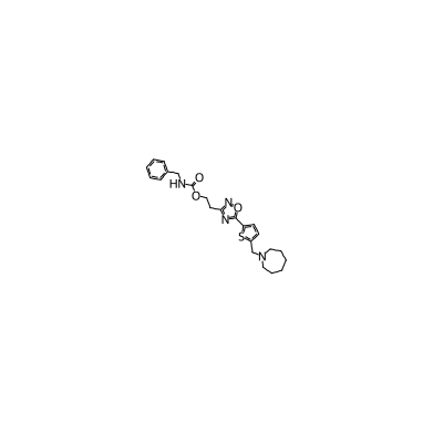 O=C(NCc1ccccc1)OCCc1noc(-c2ccc(CN3CCCCCC3)s2)n1